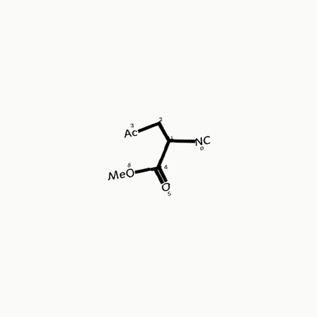 [C-]#[N+]C(CC(C)=O)C(=O)OC